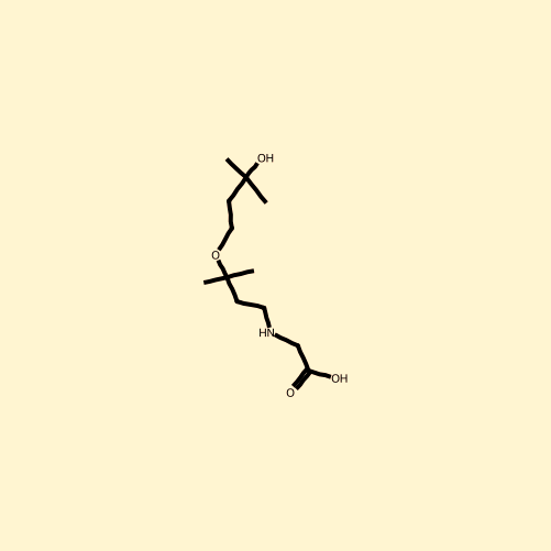 CC(C)(O)CCOC(C)(C)CCNCC(=O)O